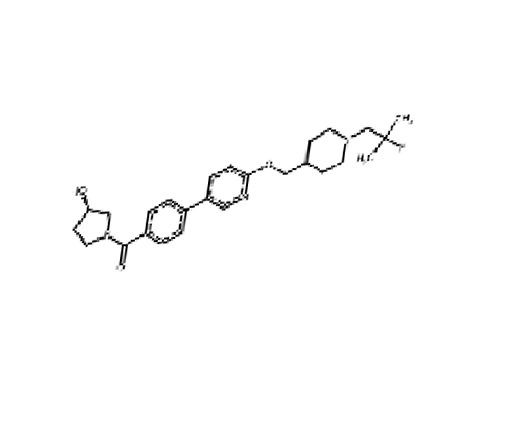 CC(C)(F)CN1CCC(COc2ccc(-c3ccc(C(=O)N4CC[C@@H](O)C4)cc3)cn2)CC1